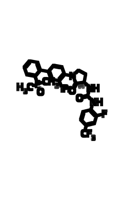 CC(C)c1cc(-c2ccccc2P(C)(C)=O)ccc1N1CC[C@@H](NC(=O)Nc2ccc(C(F)(F)F)cc2F)C1=O